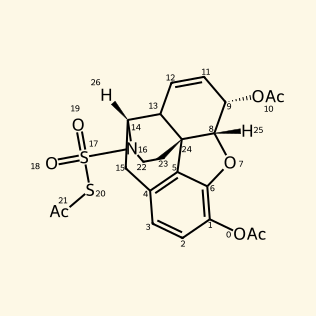 CC(=O)Oc1ccc2c3c1O[C@H]1[C@@H](OC(C)=O)C=CC4[C@@H](C2)N(S(=O)(=O)SC(C)=O)CC[C@@]341